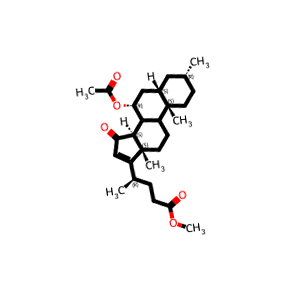 COC(=O)CC[C@@H](C)C1=CC(=O)[C@H]2C3C(CC[C@]12C)[C@@]1(C)CC[C@@H](C)C[C@H]1C[C@H]3OC(C)=O